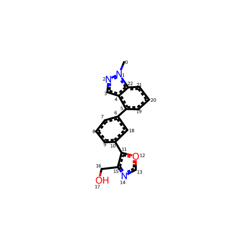 Cn1ncc2c(-c3cccc(-c4ocnc4CO)c3)cccc21